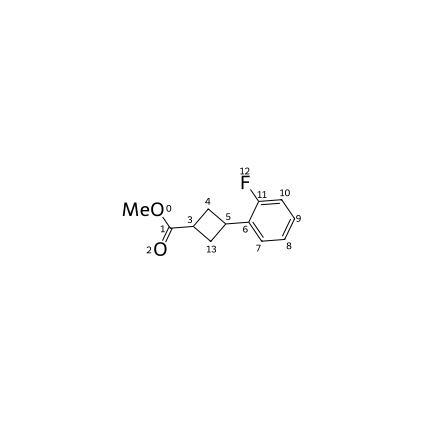 COC(=O)C1CC(c2ccccc2F)C1